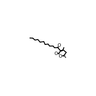 CCCCCCCCCCCC(=O)C1=C(C)C[C@@H](C)OC1=O